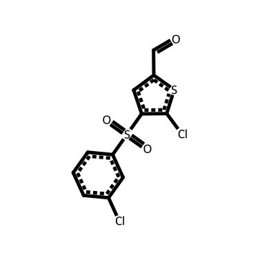 O=Cc1cc(S(=O)(=O)c2cccc(Cl)c2)c(Cl)s1